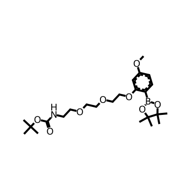 COc1ccc(B2OC(C)(C)C(C)(C)O2)c(OCCOCCOCCNC(=O)OC(C)(C)C)c1